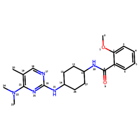 COc1ccccc1C(=O)NC1CCC(Nc2ncc(C)c(N(C)C)n2)CC1